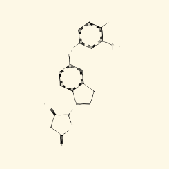 [C-]#[N+]c1cc(Oc2ccc3c(c2)CC[C@H]3C2SC(=O)CC2=O)ccc1C(F)(F)F